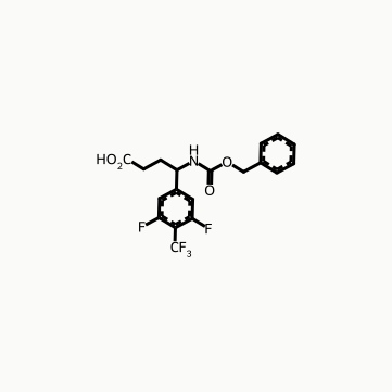 O=C(O)CCC(NC(=O)OCc1ccccc1)c1cc(F)c(C(F)(F)F)c(F)c1